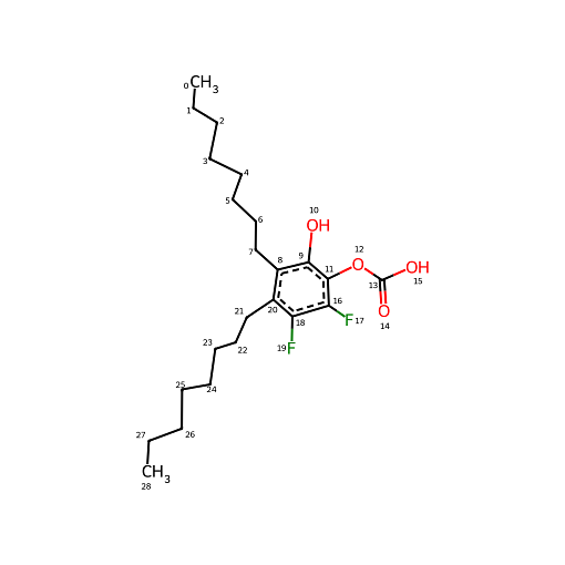 CCCCCCCCc1c(O)c(OC(=O)O)c(F)c(F)c1CCCCCCCC